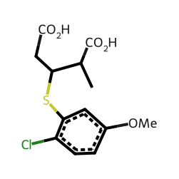 COc1ccc(Cl)c(SC(CC(=O)O)C(C)C(=O)O)c1